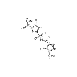 CCn1c(OC)nnc1[C@@H](C)NS(=O)(=O)c1cc(C(=O)OC)c(C)o1